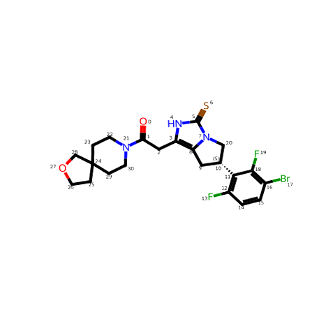 O=C(Cc1[nH]c(=S)n2c1C[C@@H](c1c(F)ccc(Br)c1F)C2)N1CCC2(CCOC2)CC1